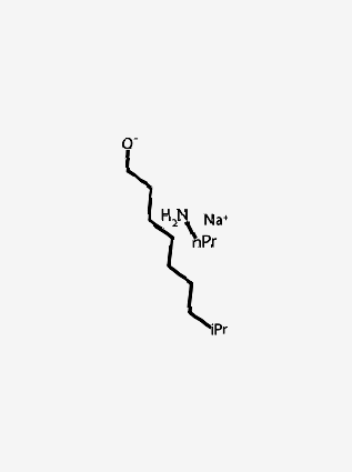 CC(C)CCCCCCC[O-].CCCN.[Na+]